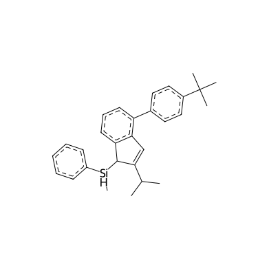 CC(C)C1=Cc2c(-c3ccc(C(C)(C)C)cc3)cccc2C1[SiH](C)c1ccccc1